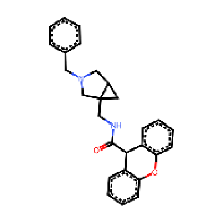 O=C(NCC12CC1CN(Cc1ccccc1)C2)C1c2ccccc2Oc2ccccc21